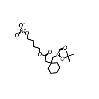 CC(C)(C)ON(C=O)CC1(CC(=O)OCCCCO[N+](=O)[O-])CCCCC1